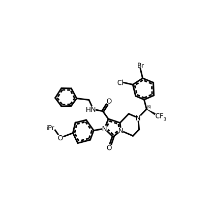 CC(C)Oc1ccc(-n2c(C(=O)NCc3ccccc3)c3n(c2=O)CCN([C@@H](c2ccc(Br)c(Cl)c2)C(F)(F)F)C3)cc1